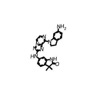 CC1(C)C(=O)Nc2cc(Nc3nc4c(N5CCc6ccc(N)cc65)nccn4n3)ccc21